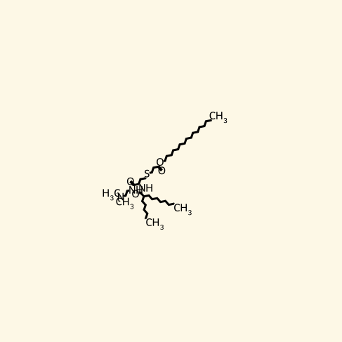 CCCCCCCCCCCCCCCCOC(=O)CCSCCC(NC(=O)C(CCCCCC)CCCCCCCC)C(=O)NCCN(C)C